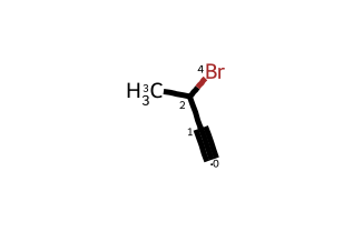 [C]#CC(C)Br